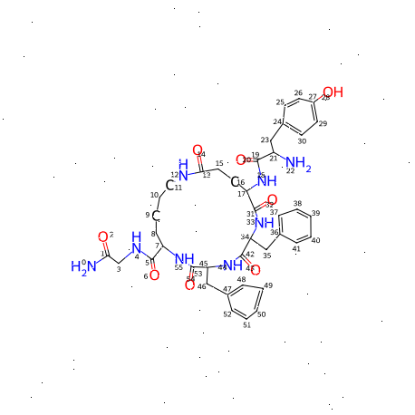 NC(=O)CNC(=O)C1CCCCNC(=O)CCC(NC(=O)C(N)Cc2ccc(O)cc2)C(=O)NC(Cc2ccccc2)C(=O)NC(Cc2ccccc2)C(=O)N1